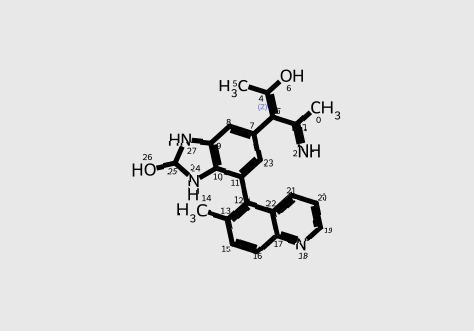 CC(=N)/C(=C(/C)O)c1cc2c(c(-c3c(C)ccc4ncccc34)c1)NC(O)N2